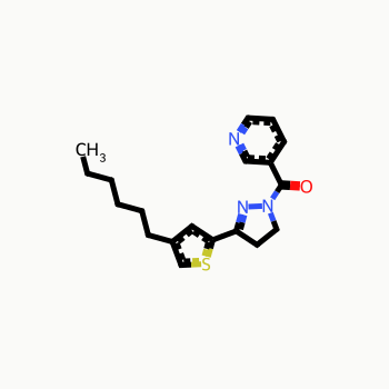 CCCCCCc1csc(C2=NN(C(=O)c3cccnc3)CC2)c1